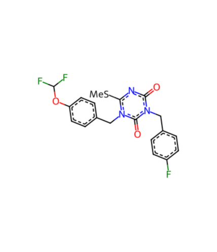 CSc1nc(=O)n(Cc2ccc(F)cc2)c(=O)n1Cc1ccc(OC(F)F)cc1